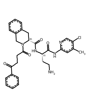 Cc1cc(NC(=O)[C@H](CCN)NC(=O)[C@H]2Cc3ccccc3CN2C(=O)CCC(=O)c2ccccc2)ncc1Cl